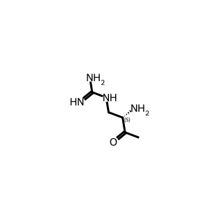 CC(=O)[C@@H](N)CNC(=N)N